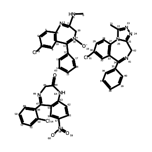 CNC1=Nc2ccc(Cl)cc2C(c2ccccc2)=[N+]([O-])C1.Cc1nnc2n1-c1ccc(Cl)cc1C(c1ccccc1)=NC2.O=C1CN=C(c2ccccc2Cl)c2cc([N+](=O)[O-])ccc2N1